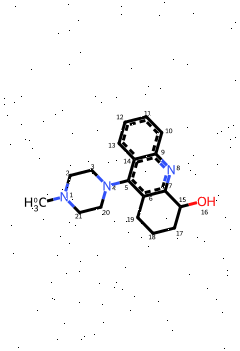 CN1CCN(c2c3c(nc4ccccc24)C(O)CCC3)CC1